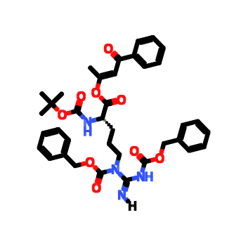 [H]/N=C(\NC(=O)OCc1ccccc1)N(CCC[C@H](NC(=O)OC(C)(C)C)C(=O)OC(C)=CC(=O)c1ccccc1)C(=O)OCc1ccccc1